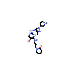 Cc1nn([C@H]2CCN(C)C2)cc1Nc1ncc(Br)c(NCCCN2CCCCC2=O)n1